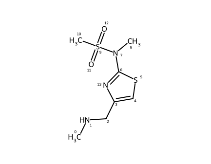 CNCc1csc(N(C)S(C)(=O)=O)n1